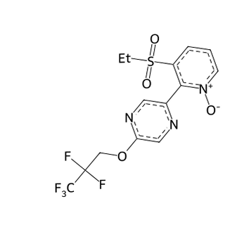 CCS(=O)(=O)c1ccc[n+]([O-])c1-c1cnc(OCC(F)(F)C(F)(F)F)cn1